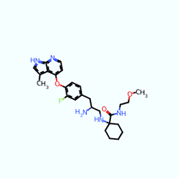 COCCNC(=O)C1(NC[C@@H](N)Cc2ccc(Oc3ccnc4[nH]cc(C)c34)c(F)c2)CCCCC1